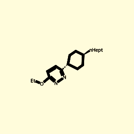 CCCCCCC[C@H]1CC[C@H](c2ccc(OCC)nn2)CC1